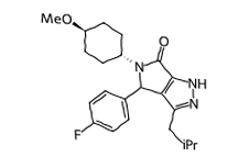 CO[C@H]1CC[C@H](N2C(=O)c3[nH]nc(CC(C)C)c3C2c2ccc(F)cc2)CC1